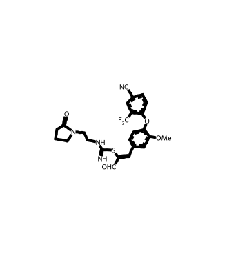 COc1cc(/C=C(/C=O)SC(=N)NCCN2CCCC2=O)ccc1Oc1ccc(C#N)cc1C(F)(F)F